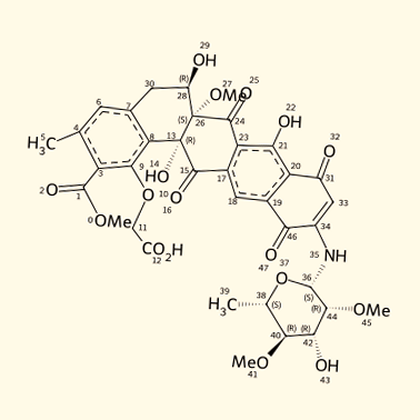 COC(=O)c1c(C)cc2c(c1OCC(=O)O)[C@]1(O)C(=O)c3cc4c(c(O)c3C(=O)[C@]1(OC)[C@H](O)C2)C(=O)C=C(N[C@H]1O[C@@H](C)[C@H](OC)[C@@H](O)[C@H]1OC)C4=O